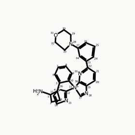 NC1CCC1c1ccccc1[N+]1(c2nccs2)C=Nc2ccc(-c3cccc(N4CCOCC4)c3)nc21